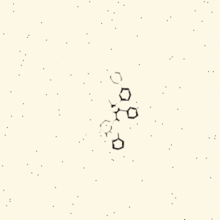 Cc1nc(C(=O)N2CCN(C(=O)O)C(C(C)(C)C)[C@H]2Cc2ccccc2)c(-c2ccccc2)n1-c1cccc(N2CCOCC2)c1